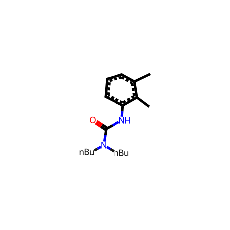 CCCCN(CCCC)C(=O)Nc1cccc(C)c1C